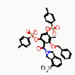 Cc1ccc(S(=O)(=O)Oc2cc(OS(=O)(=O)c3ccc(C)cc3)c(C(=O)N3Cc4cccc([N+](=O)[O-])c4C3)c(OCc3ccccc3)c2C)cc1